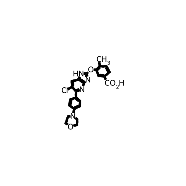 Cc1ccc(C(=O)O)cc1Oc1nc2nc(-c3ccc(N4CCOCC4)cc3)c(Cl)cc2[nH]1